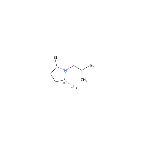 CCC(C)C(C)CN1C(CC)CC[C@H]1C